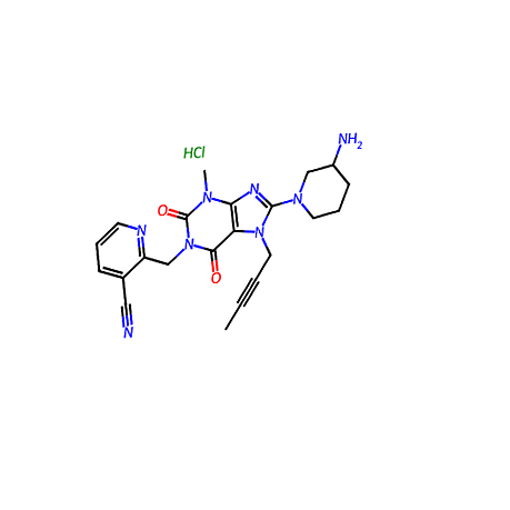 CC#CCn1c(N2CCCC(N)C2)nc2c1c(=O)n(Cc1ncccc1C#N)c(=O)n2C.Cl